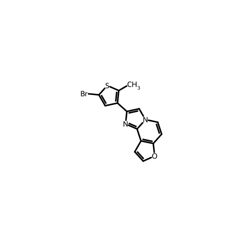 Cc1sc(Br)cc1-c1cn2ccc3occc3c2n1